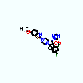 COc1ccc2nc(N3CCN(C(C)C(O)(Cn4cncn4)c4ccc(F)cc4F)CC3)sc2c1